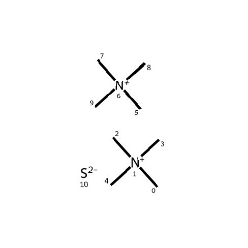 C[N+](C)(C)C.C[N+](C)(C)C.[S-2]